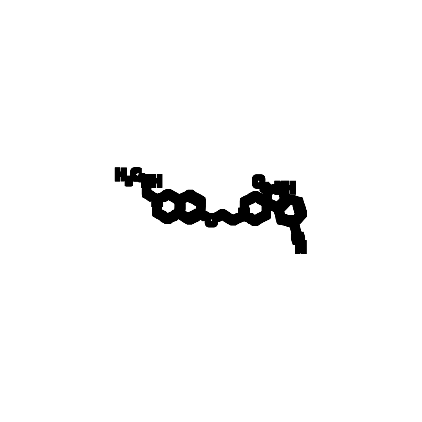 CNCN1CCc2cc(OCCN3CCC4(CC3)C(=O)Nc3ccc(C#N)cc34)ccc2C1